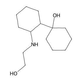 OCCNC1CCCCC1C1(O)CCCCC1